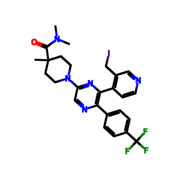 CN(C)C(=O)C1(C)CCN(c2cnc(-c3ccc(C(F)(F)F)cc3)c(-c3ccncc3CI)n2)CC1